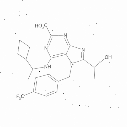 CC(O)c1nc2nc(C(=O)O)nc(NC(C)C3CCC3)c2n1Cc1ccc(C(F)(F)F)cc1